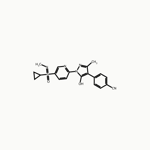 CN=S(=O)(c1ccc(-n2nc(C)c(-c3ccc(C#N)cc3)c2O)nc1)C1CC1